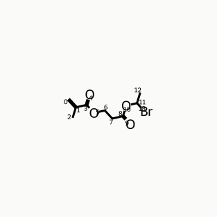 C=C(C)C(=O)OCCC(=O)OC(C)Br